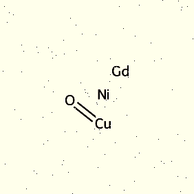 [Gd].[Ni].[O]=[Cu]